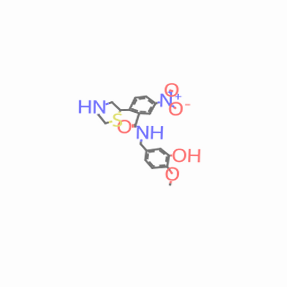 COc1ccc(CNC(=O)c2cc([N+](=O)[O-])ccc2C2CNCCS2)cc1O